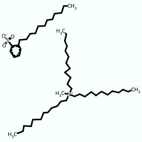 CCCCCCCCCCCC[N+](C)(CCCCCCCCCCCC)CCCCCCCCCCCC.CCCCCCCCCCCCc1ccccc1S(=O)(=O)[O-]